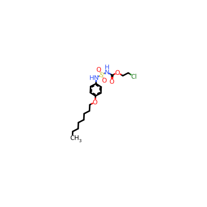 CCCCCCCCOc1ccc(NS(=O)(=O)NC(=O)OCCCl)cc1